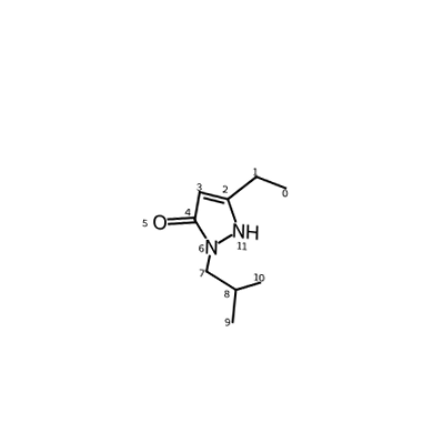 CCc1cc(=O)n(CC(C)C)[nH]1